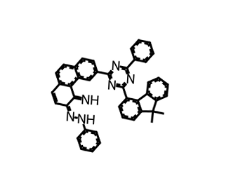 CC1(C)c2ccccc2-c2c(-c3nc(-c4ccccc4)nc(-c4ccc5ccc6c(c5c4)C(=N)/C(=N\Nc4ccccc4)C=C6)n3)cccc21